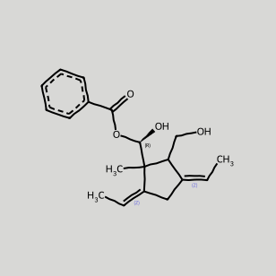 C/C=C1/C/C(=C/C)C(C)([C@H](O)OC(=O)c2ccccc2)C1CO